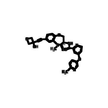 Cc1ccc(Oc2ccnc(C(=O)N[C@@H]3COc4ccc(C#CC5(O)COC5)cc4N(C)C3=O)c2)cn1